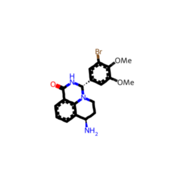 COc1cc([C@H]2NC(=O)c3cccc4c3N2CC[C@H]4N)cc(Br)c1OC